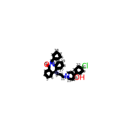 O=C1c2ccccc2/C(=C/CCN2CCC(O)(c3ccc(Cl)cc3)CC2)c2ccccc2N1Cc1ccccc1